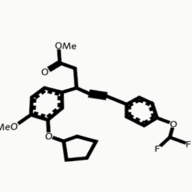 COC(=O)CC(C#Cc1ccc(OC(F)F)cc1)c1ccc(OC)c(OC2CCCC2)c1